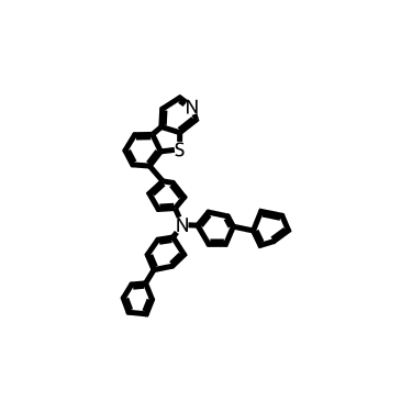 c1ccc(-c2ccc(N(c3ccc(-c4ccccc4)cc3)c3ccc(-c4cccc5c4sc4cnccc45)cc3)cc2)cc1